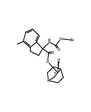 Cc1cccc2c1CCC2(NC(=O)OC(C)(C)C)C(=O)O[C@H]1CN2CCC1CC2